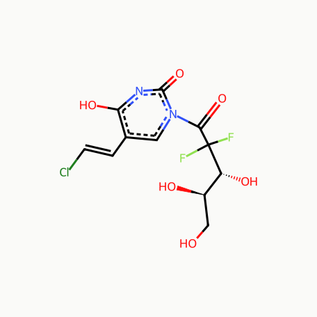 O=C(n1cc(C=CCl)c(O)nc1=O)C(F)(F)[C@H](O)[C@H](O)CO